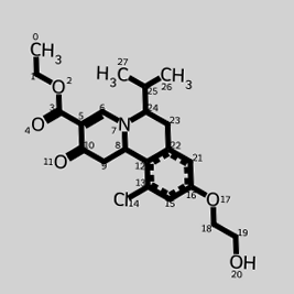 CCOC(=O)C1=CN2C(CC1=O)c1c(Cl)cc(OCCO)cc1CC2C(C)C